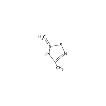 C=S1NC(C)=NS1